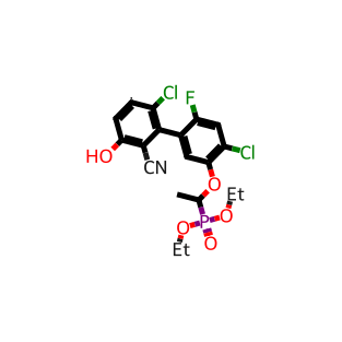 CCOP(=O)(OCC)C(C)Oc1cc(-c2c(Cl)[c]cc(O)c2C#N)c(F)cc1Cl